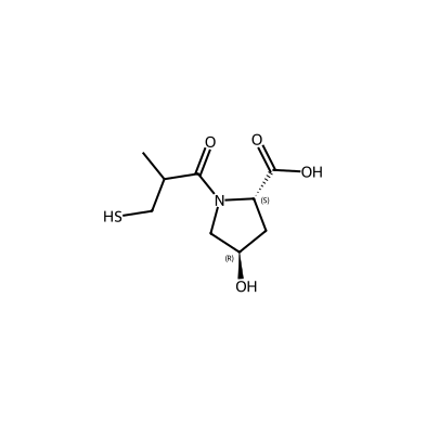 CC(CS)C(=O)N1C[C@H](O)C[C@H]1C(=O)O